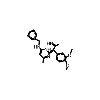 COc1ccc(/C(C(C)=N)=C2\N=C(C)C=C(NCc3ccccc3)N2)cc1OC